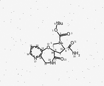 CC(C)(C)OC(=O)N1C[C@@]2(C[C@H]1C(N)=O)Oc1cccnc1CNC2=O